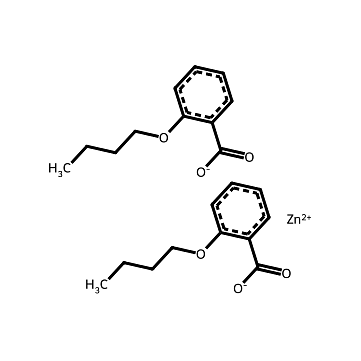 CCCCOc1ccccc1C(=O)[O-].CCCCOc1ccccc1C(=O)[O-].[Zn+2]